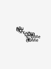 CCCCOc1ccc(/C=C/C(CCCCC(=O)OC)Cc2ccc(C(=O)OC)cc2)cc1